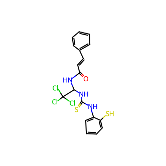 O=C(C=Cc1ccccc1)NC(NC(=S)Nc1ccccc1S)C(Cl)(Cl)Cl